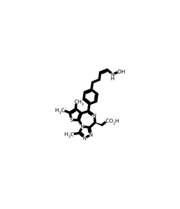 Cc1sc2c(c1C)C(c1ccc(CC/C=C\NO)cc1)=N[C@@H](CC(=O)O)c1nnc(C)n1-2